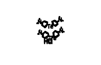 CN(C)c1ccc([Te]c2ccc(N(C)C)cc2)cc1.CN(C)c1ccc([Te]c2ccc(N(C)C)cc2)cc1.Cl.Cl